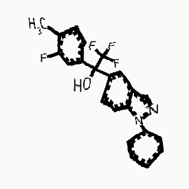 Cc1ccc(C(O)(c2ccc3c(cnn3-c3ccccc3)c2)C(F)(F)F)cc1F